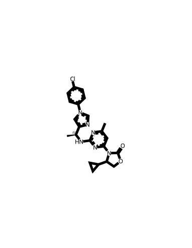 Cc1cc(N2C(=O)OCC2C2CC2)nc(N[C@@H](C)c2cn(-c3ccc(Cl)cc3)cn2)n1